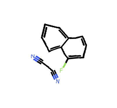 Fc1cccc2ccccc12.N#CC#N